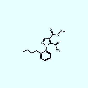 CCCCc1ccccc1-n1ncc(C(=O)OCC)c1C(N)=O